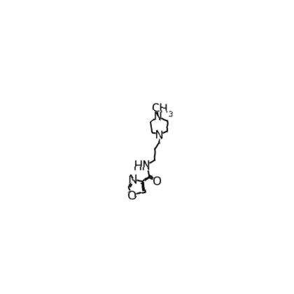 CN1CCN(CCCNC(=O)c2cocn2)CC1